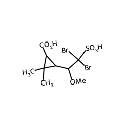 COC(C1C(C(=O)O)C1(C)C)C(Br)(Br)S(=O)(=O)O